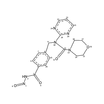 O=NNC(=O)c1ccc(CN(C(=O)N2CCOCC2)c2ncccn2)cc1